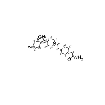 NC(=O)CC1CCC(CCN2CCC(c3noc4cc(F)ccc34)CC2)CC1